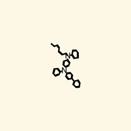 CC/C=C\C=C/CN(c1ccccc1)c1ccc(N(c2ccccc2)c2ccc(-c3ccccc3)cc2)cc1